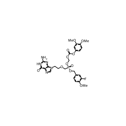 COc1ccc(COP(=O)(COCCn2cnc3c(=O)[nH]c(N)nc32)OCOC(=O)Oc2ccc(OC)c(OC)c2)cc1F